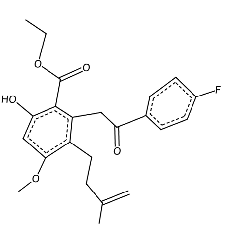 C=C(C)CCc1c(OC)cc(O)c(C(=O)OCC)c1CC(=O)c1ccc(F)cc1